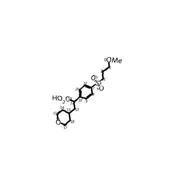 COCCCS(=O)(=O)c1ccc(C(CC2CCOCC2)C(=O)O)cc1